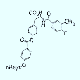 CCCCCCCOc1ccc(C(=O)Oc2ccc(C[C@H](NC(=O)c3ccc(F)c(C)c3)C(=O)O)cc2)cc1